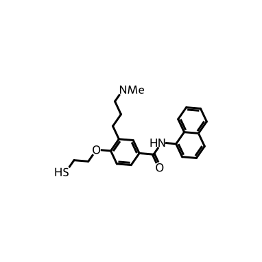 CNCCCc1cc(C(=O)Nc2cccc3ccccc23)ccc1OCCS